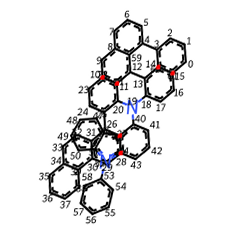 c1ccc(-c2cccc3cccc(-c4ccccc4N(c4ccccc4-c4cccc5c4ccc4ccccc45)c4cccc5c4c4ccccc4n5-c4ccccc4)c23)cc1